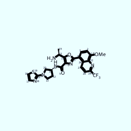 COc1ccc(-c2nc(C(=O)N[C@@H]3CCN(c4nccs4)C3)c([C@H](C)N)o2)c2ccc(C(F)(F)F)nc12